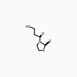 O=C(CCS)N1CCSC1=S